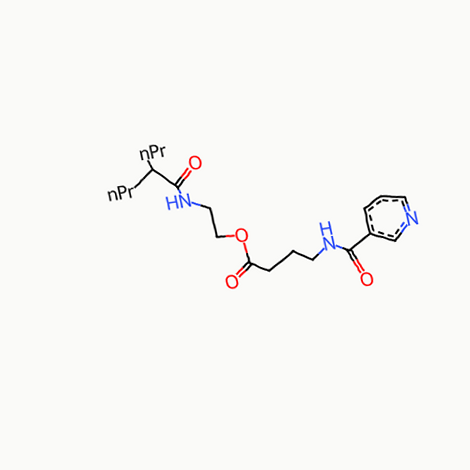 CCCC(CCC)C(=O)NCCOC(=O)CCCNC(=O)c1cccnc1